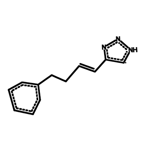 [c]1[nH]nnc1C=CCCc1ccccc1